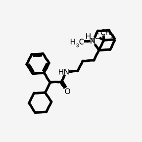 CN1CCC2CC1(CCCNC(=O)C(c1ccccc1)C1CCCCC1)C2(C)C